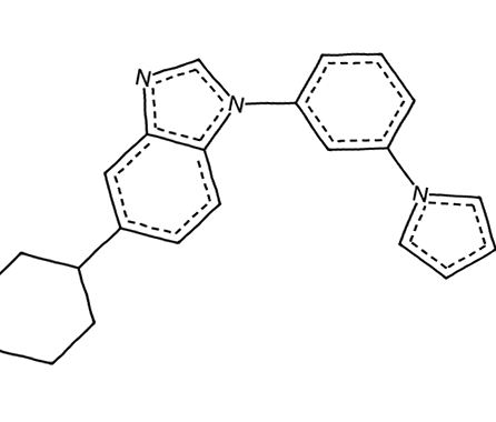 c1cc(-n2cccc2)cc(-n2cnc3cc(C4CCCCC4)ccc32)c1